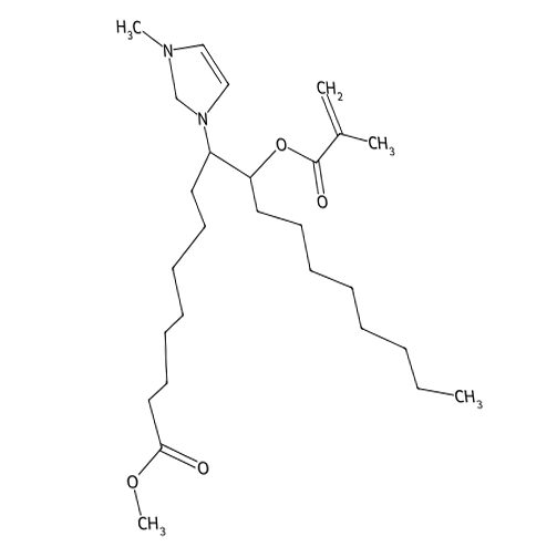 C=C(C)C(=O)OC(CCCCCCCC)C(CCCCCCCC(=O)OC)N1C=CN(C)C1